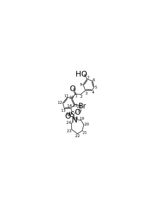 O=C(Cc1cccc(O)c1)c1cccc(S(=O)(=O)N2CCCCCC2)c1Br